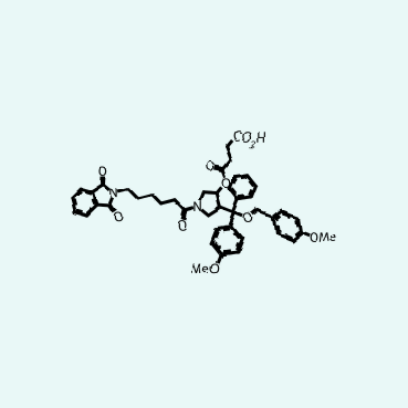 COc1ccc(COC(c2ccccc2)(c2ccc(OC)cc2)C2CN(C(=O)CCCCCN3C(=O)c4ccccc4C3=O)CC2OC(=O)CCC(=O)O)cc1